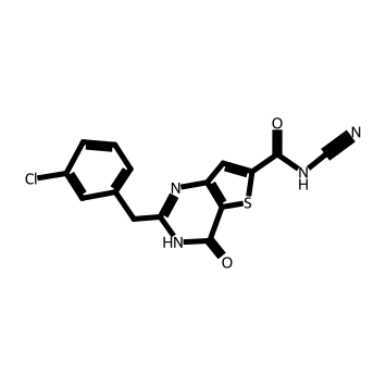 N#CNC(=O)c1cc2nc(Cc3cccc(Cl)c3)[nH]c(=O)c2s1